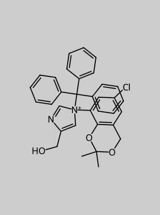 CC1(C)OCc2cc(Cl)cc([N+]3(C(c4ccccc4)(c4ccccc4)c4ccccc4)C=NC(CO)=C3)c2O1